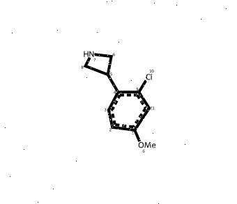 COc1ccc(C2CNC2)c(Cl)c1